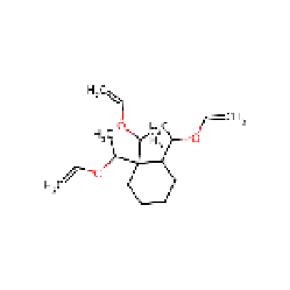 C=COC(C)C1CCCCC1(C(C)OC=C)C(C)OC=C